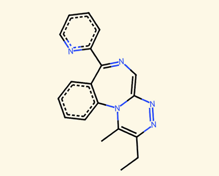 CCC1=C(C)N2C(=CN=C(c3ccccn3)c3ccccc32)N=N1